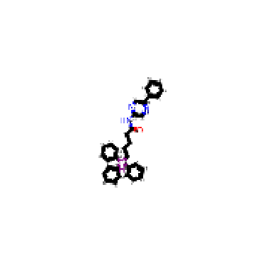 O=C(CCCC[PH](c1ccccc1)(c1ccccc1)c1ccccc1)Nc1cnc(-c2ccccc2)cn1